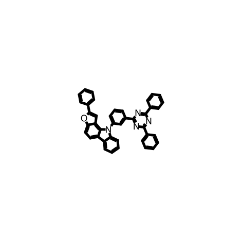 c1ccc(-c2nc(-c3ccccc3)nc(-c3cccc(-n4c5ccccc5c5ccc6oc(-c7ccccc7)cc6c54)c3)n2)cc1